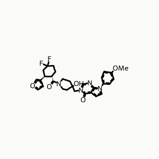 COc1ccc(-n2ccc3c(=O)n(CC4(O)CCN(C(=O)[C@H]5CCC(F)(F)C[C@@H]5c5ccoc5)CC4)cnc32)cc1